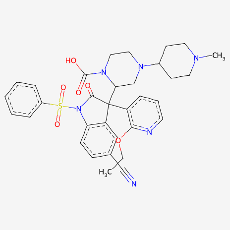 CCOc1ncccc1C1(C2CN(C3CCN(C)CC3)CCN2C(=O)O)C(=O)N(S(=O)(=O)c2ccccc2)c2ccc(C#N)cc21